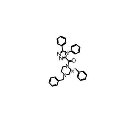 O=C(c1nnc(-c2ccccc2)n1-c1ccccc1)N1CCN(Cc2ccccc2)C[C@H]1Cc1ccccc1